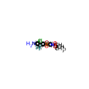 CC(C)(C)OC(=O)N1CCC(S(=O)(=O)c2ccc(-c3c(Cl)cc(N)cc3C(F)(F)F)cc2)CC1